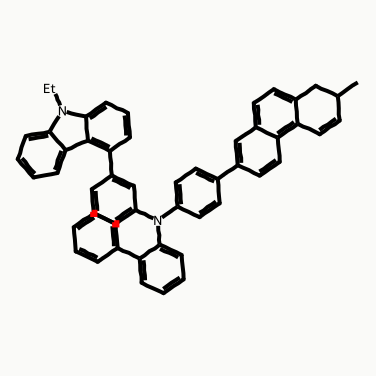 CCn1c2ccccc2c2c(-c3cccc(N(c4ccc(-c5ccc6c7c(ccc6c5)CC(C)C=C7)cc4)c4ccccc4-c4ccccc4)c3)cccc21